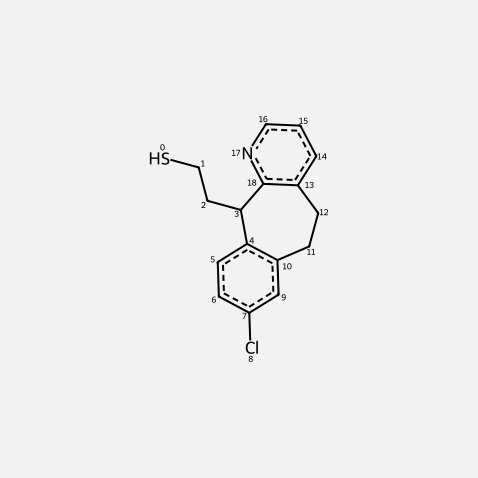 SCCC1c2ccc(Cl)cc2CCc2cccnc21